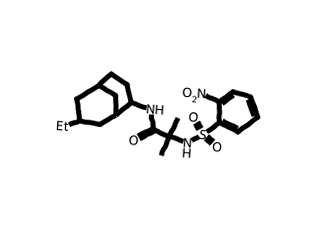 CCC1CC2CCC(NC(=O)C(C)(C)NS(=O)(=O)c3ccccc3[N+](=O)[O-])C(C1)C2